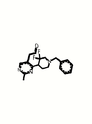 Cc1ncc(CC=O)c(C2CCN(Cc3ccccc3)CC2(F)F)n1